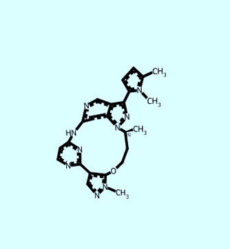 Cc1ccc(-c2nn3c4cc(ncc24)Nc2ccnc(n2)-c2cnn(C)c2OCC[C@@H]3C)n1C